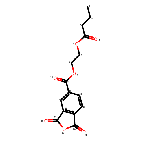 CCCC(=O)OCCOC(=O)c1ccc2c(c1)C(=O)OC2=O